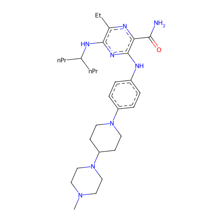 CCCC(CCC)Nc1nc(Nc2ccc(N3CCC(N4CCN(C)CC4)CC3)cc2)c(C(N)=O)nc1CC